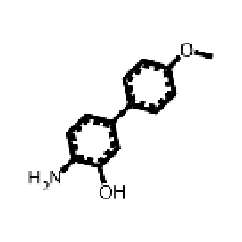 COc1ccc(-c2ccc(N)c(O)c2)cc1